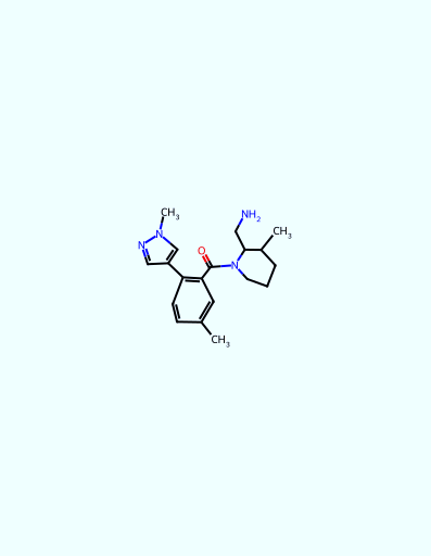 Cc1ccc(-c2cnn(C)c2)c(C(=O)N2CCCC(C)C2CN)c1